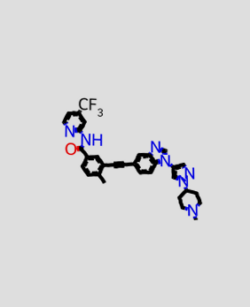 Cc1ccc(C(=O)Nc2cc(C(F)(F)F)ccn2)cc1C#Cc1ccc2c(c1)ncn2-c1cnn(C2CCN(C)CC2)c1